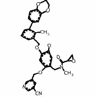 Cc1c(COc2cc(OCc3cncc(C#N)c3)c(CN(C)C(=O)C3CO3)cc2Cl)cccc1-c1ccc2c(c1)OCCO2